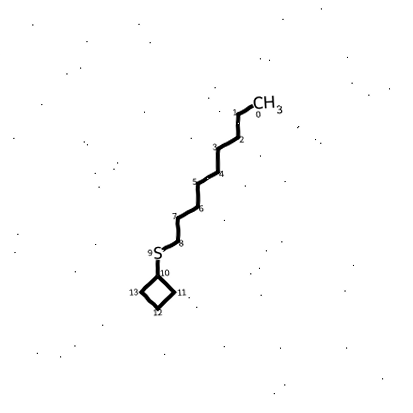 CCCCCCCCCSC1CCC1